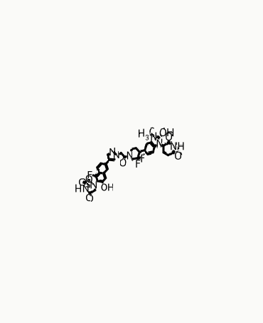 CN1c2cc(C3CCN(C(=O)Cn4cc(-c5ccc6c(F)c(N7CC(=O)NS7(=O)=O)c(O)cc6c5)cn4)CC3(F)F)ccc2N(C2CCC(=O)NC2=O)C1O